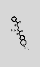 CN1CCc2ccc(NC(=O)[C@H](N)CNC(=O)c3ccccc3)cc2CC1